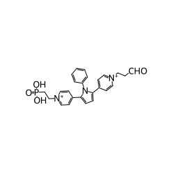 O=CCC[n+]1ccc(-c2ccc(-c3cc[n+](CCP(=O)(O)O)cc3)n2-c2ccccc2)cc1